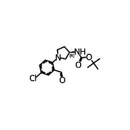 CC(C)(C)OC(=O)N[C@@H]1CCN(c2ccc(Cl)cc2C=O)C1